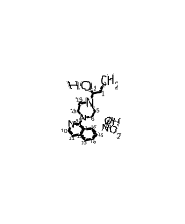 C=CC(O)N1CCN(c2nccc3ccccc23)CC1.O=[N+]([O-])O